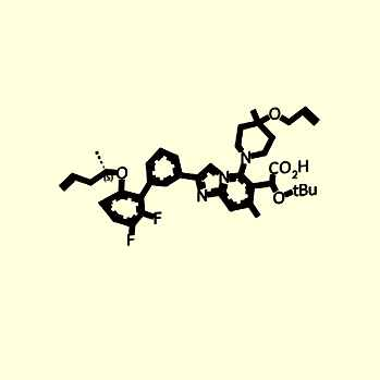 C=CCOC1(C)CCN(c2c(C(OC(C)(C)C)C(=O)O)c(C)cc3nc(-c4cccc(-c5c(O[C@@H](C)CC=C)ccc(F)c5F)c4)cn23)CC1